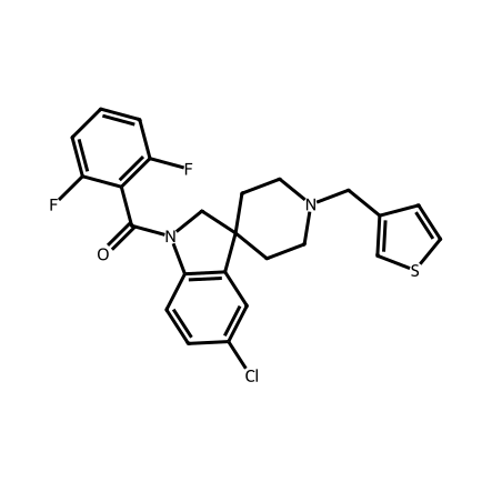 O=C(c1c(F)cccc1F)N1CC2(CCN(Cc3ccsc3)CC2)c2cc(Cl)ccc21